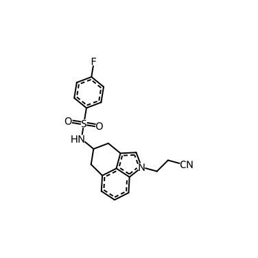 N#CCCn1cc2c3c(cccc31)CC(NS(=O)(=O)c1ccc(F)cc1)C2